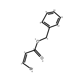 O=C(/C=C\Br)OCc1ccccc1